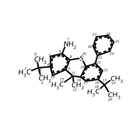 CC(C)(C)c1cc(N)c2c(c1)C(C)(C)c1cc(C(C)(C)C)cc(-c3ccccc3)c1S2